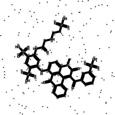 Cn1c(=O)c(C(=O)c2cccc(S(=O)(=O)O)c2)c2c3c(c(Nc4cc(NC(=O)CNCCS(=O)(=O)O)c(S(=O)(=O)O)cc4S(=O)(=O)O)ccc31)C(=O)c1ccccc1-2